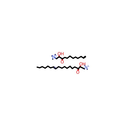 C=CCCCCCCCC(=O)C(O)C[N+](C)(C)C.CCCCCC/C=C/CCCCCCCC(=O)C(O)C[N+](C)(C)C